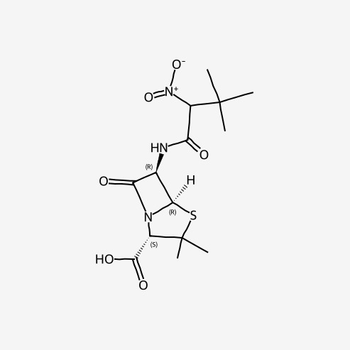 CC(C)(C)C(C(=O)N[C@@H]1C(=O)N2[C@@H]1SC(C)(C)[C@@H]2C(=O)O)[N+](=O)[O-]